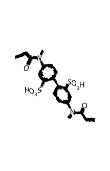 C=CC(=O)N(C)c1ccc(-c2ccc(N(C)C(=O)C=C)cc2S(=O)(=O)O)c(S(=O)(=O)O)c1